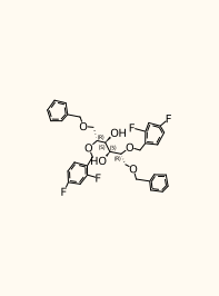 O[C@@H]([C@H](O)[C@@H](COCc1ccccc1)OCc1ccc(F)cc1F)[C@@H](COCc1ccccc1)OCc1ccc(F)cc1F